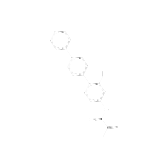 C=C(C)C(=O)Oc1ccc(-c2ccc(-c3ccccc3)cc2)c(F)c1